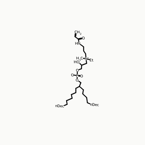 C=CC(=O)NCCC[N+](C)(CC)CC(O)COP(=O)([O-])OCC(CCCCCCCCCCCCCC)CCCCCCCCCCCCCCCC